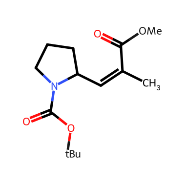 COC(=O)C(C)=CC1CCCN1C(=O)OC(C)(C)C